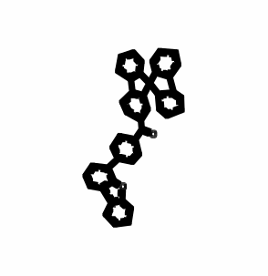 O=C(c1ccc(-c2cccc3c2oc2ccccc23)cc1)c1ccc2c(c1)C1(c3ccccc3-c3ccccc31)c1ccccc1-2